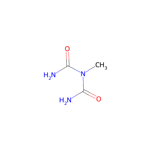 CN(C(N)=O)C(N)=O